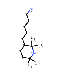 CC1(C)CCC(CCCCCN)C(C)(C)N1